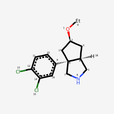 CCO[C@H]1C[C@H]2CNC[C@@]2(c2ccc(Cl)c(Cl)c2)C1